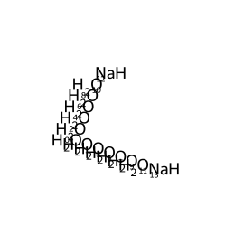 O.O.O.O.O.O.O.O.O.O.O.O.[NaH].[NaH]